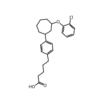 O=C(O)CCCCc1ccc(C2CCCCC(Oc3ccccc3Cl)C2)cc1